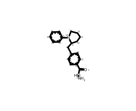 NNC(=O)c1ccc(CC2CCCCN2c2ccccc2)cc1